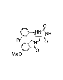 COc1ccc2c(c1)C(=O)N(C[C@@]1(/C=C/c3cccc(C(C)C)c3)NC(=O)NC1=O)C2